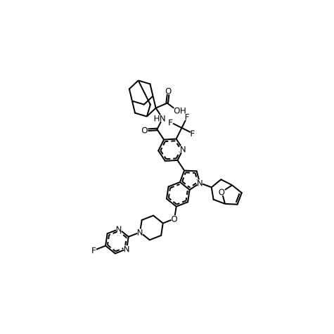 O=C(NC1(C(=O)O)C2CC3CC(C2)CC1C3)c1ccc(-c2cn(C3CC4C=CC(C3)O4)c3cc(OC4CCN(c5ncc(F)cn5)CC4)ccc23)nc1C(F)(F)F